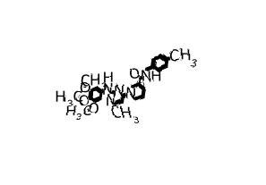 COc1cc(Nc2nc(C)cc(N3CCC[C@H](C(=O)NCc4ccc(C)cc4)C3)n2)cc(OC)c1OC